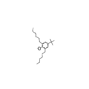 CCCCCCc1cc(C(C)(C)C)cc(CCCCCC)c1[O]